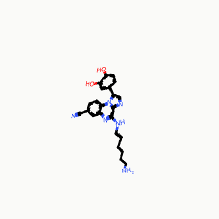 N#Cc1ccc2c(c1)nc(NCCCCCCN)c1ncc(-c3ccc(O)c(O)c3)n12